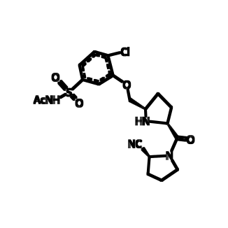 CC(=O)NS(=O)(=O)c1ccc(Cl)c(OC[C@H]2CC[C@@H](C(=O)N3CCC[C@H]3C#N)N2)c1